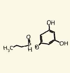 CCC[PH](=O)Oc1cc(O)cc(O)c1